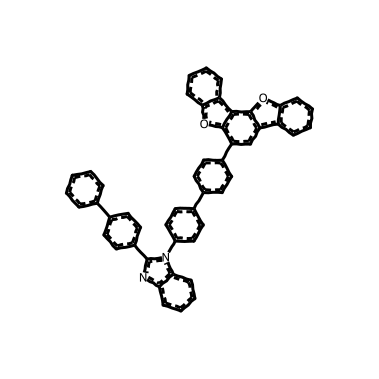 c1ccc(-c2ccc(-c3nc4ccccc4n3-c3ccc(-c4ccc(-c5cc6c7ccccc7oc6c6c5oc5ccccc56)cc4)cc3)cc2)cc1